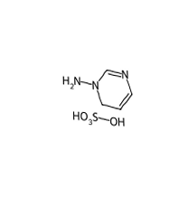 NN1C=NC=CC1.O=S(=O)(O)O